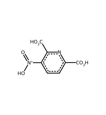 O=C(O)c1ccc([N+](=O)O)c(C(=O)O)n1